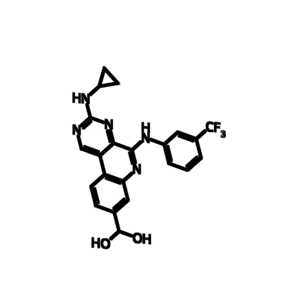 OC(O)c1ccc2c(c1)nc(Nc1cccc(C(F)(F)F)c1)c1nc(NC3CC3)ncc12